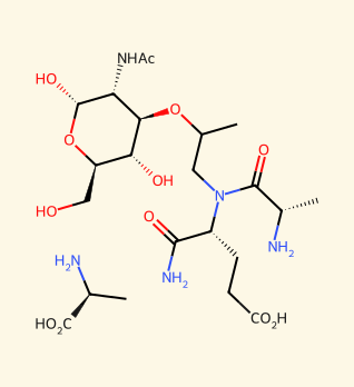 CC(=O)N[C@@H]1[C@@H](OC(C)CN(C(=O)[C@H](C)N)[C@H](CCC(=O)O)C(N)=O)[C@H](O)[C@@H](CO)O[C@@H]1O.C[C@H](N)C(=O)O